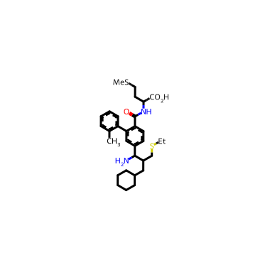 CCSCC(CC1CCCCC1)C(N)c1ccc(C(=O)NC(CCSC)C(=O)O)c(-c2ccccc2C)c1